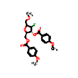 COCC1O[C@H](COC(=O)c2ccc(OC)cc2)[C@@H](OC(=O)c2ccc(OC)cc2)[C@@H]1F